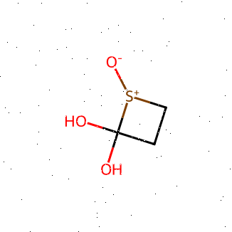 [O-][S+]1CCC1(O)O